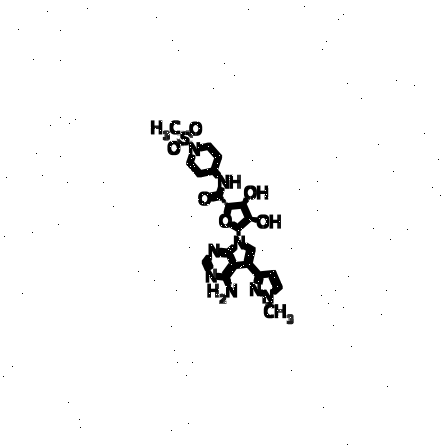 Cn1ccc(-c2cn([C@@H]3O[C@H](C(=O)NC4CCN(S(C)(=O)=O)CC4)[C@@H](O)[C@H]3O)c3ncnc(N)c23)n1